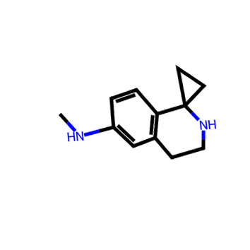 CNc1ccc2c(c1)CCNC21CC1